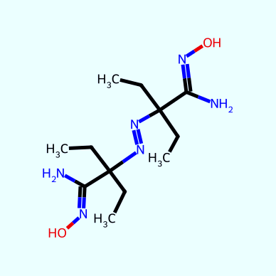 CCC(CC)(N=NC(CC)(CC)C(N)=NO)C(N)=NO